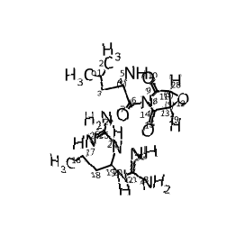 CC(C)C[C@H](N)C(=O)N1C(=O)[C@H]2O[C@@H]2C1=O.CCCC(NC(=N)N)NC(=N)N